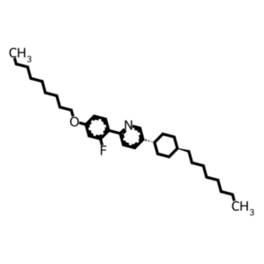 CCCCCCCCCOc1ccc(-c2ccc([C@H]3CC[C@H](CCCCCCCC)CC3)cn2)c(F)c1